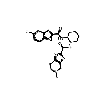 CN1CCc2nc(C(=O)N[C@H]3CCCC[C@@H]3NC(=O)c3cc4cc(Cl)ccc4[nH]3)oc2C1